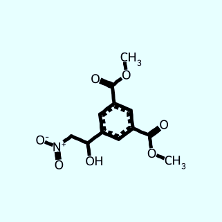 COC(=O)c1cc(C(=O)OC)cc(C(O)C[N+](=O)[O-])c1